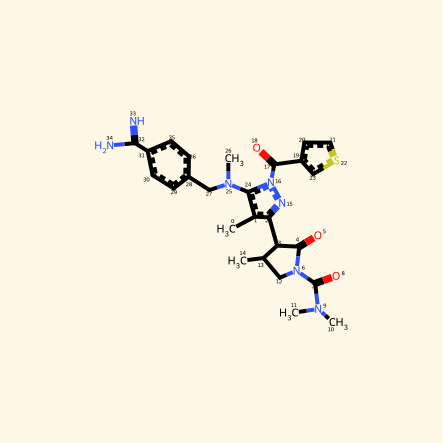 Cc1c(C2C(=O)N(C(=O)N(C)C)CC2C)nn(C(=O)c2ccsc2)c1N(C)Cc1ccc(C(=N)N)cc1